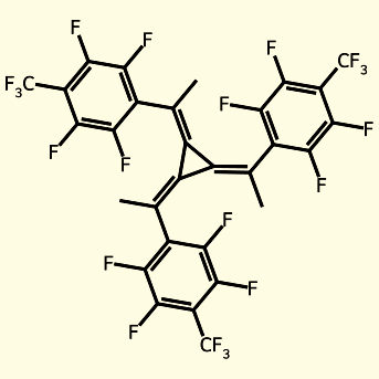 CC(=C1C(=C(C)c2c(F)c(F)c(C(F)(F)F)c(F)c2F)C1=C(C)c1c(F)c(F)c(C(F)(F)F)c(F)c1F)c1c(F)c(F)c(C(F)(F)F)c(F)c1F